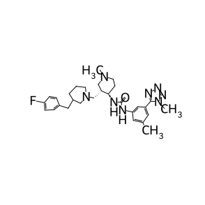 Cc1cc(NC(=O)N[C@@H]2CCN(C)C[C@H]2CN2CCCC(Cc3ccc(F)cc3)C2)cc(-c2nnnn2C)c1